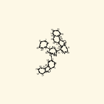 c1ccc(-c2nc(-c3ccc4oc5ccccc5c4c3)nc(-c3nccc4oc5c6ccccc6ccc5c34)n2)cc1